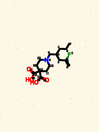 C=C(F)CC(CCC)CN1CCC(C(=O)O)(C(=O)O)CC1